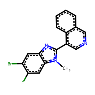 Cn1c(-c2cncc3ccccc23)nc2cc(Br)c(F)cc21